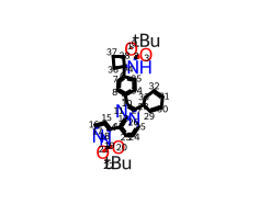 CC(C)(C)OC(=O)NC1(c2ccc(-c3nc4c(-c5ccnn5C(=O)OC(C)(C)C)cccn4c3C3C=CC=CC3)cc2)CCC1